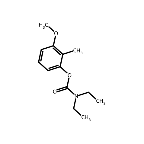 CCN(CC)C(=O)Oc1cccc(OC)c1C